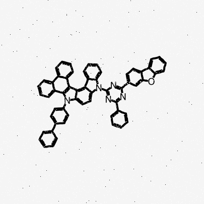 c1ccc(-c2ccc(-n3c4ccc5c(c6ccccc6n5-c5nc(-c6ccccc6)nc(-c6ccc7c(c6)oc6ccccc67)n5)c4c4c5ccccc5c5ccccc5c43)cc2)cc1